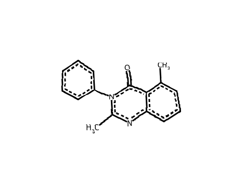 Cc1cccc2nc(C)n(-c3ccccc3)c(=O)c12